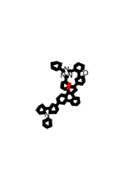 c1ccc(-c2nc(-c3ccccc3)nc(-c3cccc4oc5ccc(-c6ccc7c8ccc(-c9ccc%10c(c9)c9ccccc9n%10-c9ccccc9)cc8c8ccccc8c7c6)cc5c34)n2)cc1